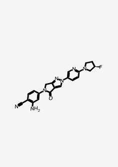 N#Cc1ccc(N2Cc3nn(-c4ccc(N5CC[C@@H](F)C5)nc4)cc3C2=O)cc1N